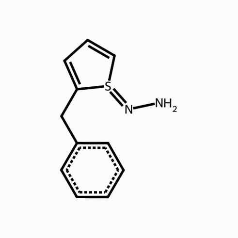 NN=S1C=CC=C1Cc1ccccc1